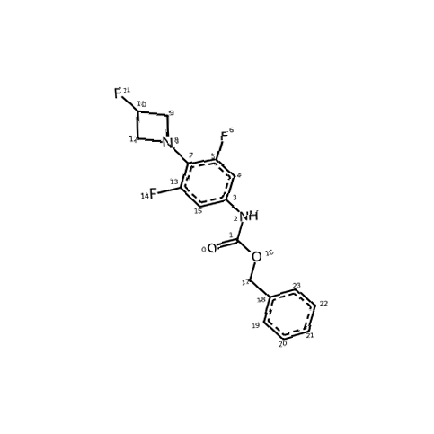 O=C(Nc1cc(F)c(N2CC(F)C2)c(F)c1)OCc1ccccc1